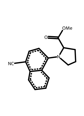 COC(=O)C1CCCN1c1ccc(C#N)c2ccccc12